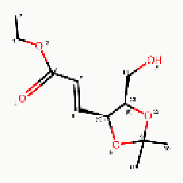 CCOC(=O)C=C[C@@H]1OC(C)(C)O[C@@H]1CO